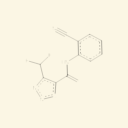 N#Cc1ccccc1NC(=S)c1snnc1C(F)F